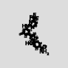 Cc1cc(Nc2nccc(C(F)(F)F)n2)cc(-c2cnc([C@]3(O)CC[C@@H](C(N)=O)CC3)s2)c1